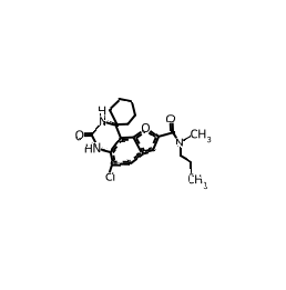 CCCN(C)C(=O)c1cc2cc(Cl)c3c(c2o1)C1(CCCCC1)NC(=O)N3